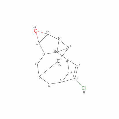 ClC1=CC2CC1CC1CC3C4OC4C4C(C1)C234